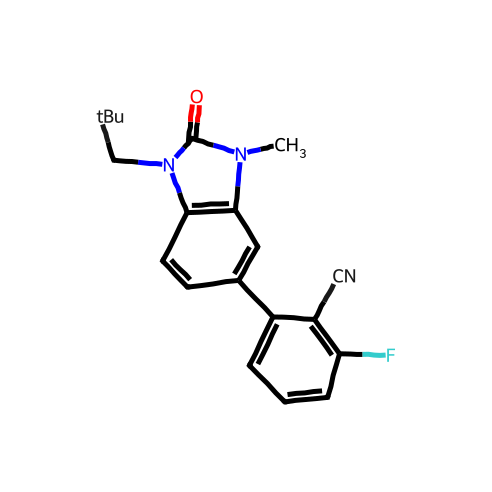 Cn1c(=O)n(CC(C)(C)C)c2ccc(-c3cccc(F)c3C#N)cc21